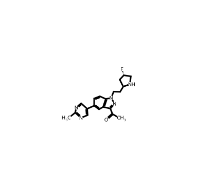 CC(=O)c1nn(CCC2C[C@H](F)CN2)c2ccc(-c3cnc(C)nc3)cc12